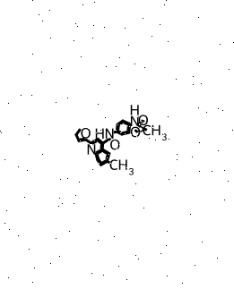 Cc1ccc2nc(C3=CCCO3)cc(C(=O)Nc3ccc(NS(C)(=O)=O)cc3)c2c1